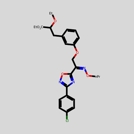 CCCON=C(COc1cccc(CC(OCC)C(=O)OCC)c1)c1nc(-c2ccc(Cl)cc2)no1